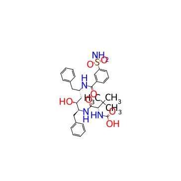 CC(C)(C)[C@H](NC(=O)O)C(=O)N[C@@H](Cc1ccccc1)[C@@H](O)C[C@H](Cc1ccccc1)NC(=O)c1cccc(S(N)(=O)=O)c1